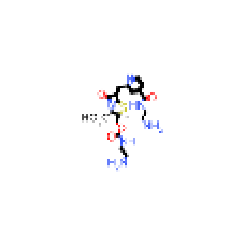 C[C@@]1(COC(=O)NCCN)SC2/C(=C\c3cc(C(=O)NCCN)ccn3)C(=O)N2[C@H]1C(=O)O